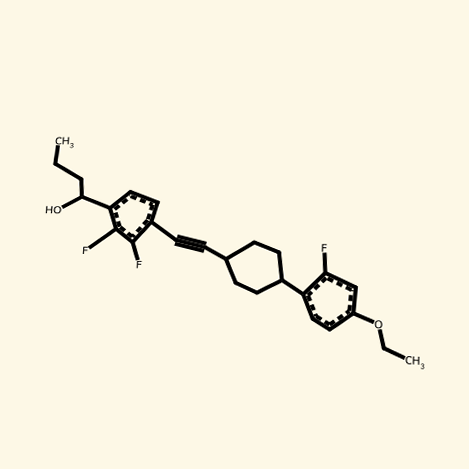 CCCC(O)c1ccc(C#CC2CCC(c3ccc(OCC)cc3F)CC2)c(F)c1F